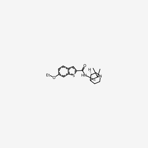 CCOc1ccc2cc(C(=O)N[C@@H]3C4CCN(CC4)C3(C)C)sc2c1